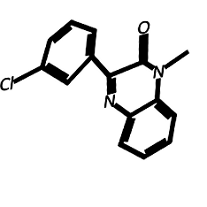 Cn1c(=O)c(-c2cccc(Cl)c2)nc2ccccc21